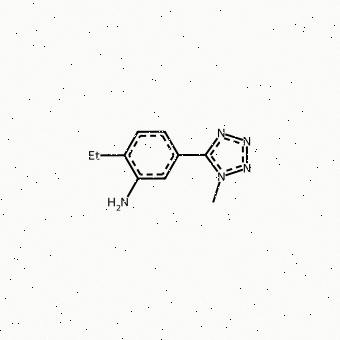 CCc1ccc(-c2nnnn2C)cc1N